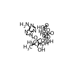 C=C(C)C[C@@H](O[C@](C)(COP(=O)(O)OP(=O)(O)OP(=O)(O)O)[C@@H](O)CO)n1cnc2c(N)ncnc21